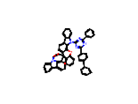 c1ccc(-c2ccc(-c3nc(-c4ccccc4)nc(-n4c5ccccc5c5ccc6c(c54)Oc4ccccc4C64c5ccccc5-n5c6ccccc6c6cccc4c65)n3)cc2)cc1